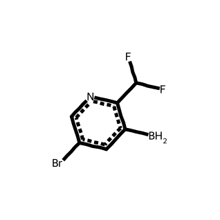 Bc1cc(Br)cnc1C(F)F